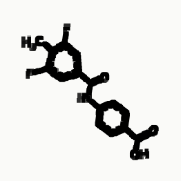 Cc1c(F)cc(C(=O)Nc2ccc(C(=O)O)cc2)cc1F